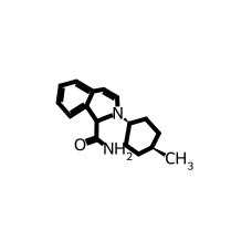 C[C@H]1CC[C@H](N2C=Cc3ccccc3C2C(N)=O)CC1